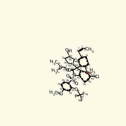 C/C=C\c1ccc(OC)c(C2(N3C[C@H](O)C[C@H]3C(=O)N(C)C)C(=O)N(S(=O)(=O)c3ccc(OC)cc3OC(F)(F)F)c3ccc(Cl)cc32)c1